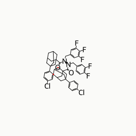 O=C(N(Cc1ccc(F)c(F)c1)N(Cc1cc(F)c(F)c(F)c1)C(=O)C12CC3CC(C1)CC(c1ccc(Cl)cc1)(C3)C2)C12CC3CC(C1)CC(c1ccc(Cl)cc1)(C3)C2